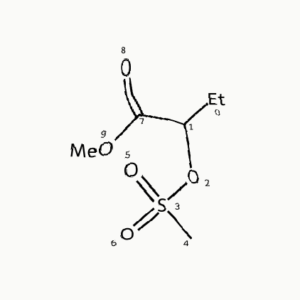 CCC(OS(C)(=O)=O)C(=O)OC